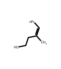 CCCC=C(C)CCO